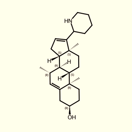 C[C@H]1C=C2C[C@H](O)CC[C@]2(C)[C@H]2CC[C@]3(C)C(C4CCCCN4)=CC[C@H]3[C@H]12